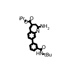 CC(C)OC(=O)C1=Cc2ccc(-c3cccc(C(=O)NC(C)(C)C)c3)cc2N=C(N)C1